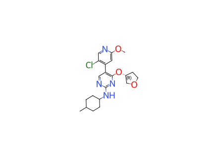 COc1cc(-c2cnc(NC3CCC(C)CC3)nc2O[C@@H]2CCOC2)c(Cl)cn1